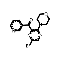 O=C(c1cccnc1)c1nc(Br)cnc1N1CCOCC1